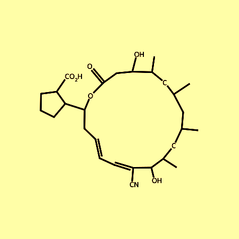 CC1CC(C)CC(C)C(O)/C(C#N)=C\C=C\CC(C2CCCC2C(=O)O)OC(=O)CC(O)C(C)C1